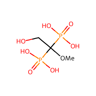 COC(CO)(P(=O)(O)O)P(=O)(O)O